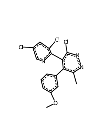 COc1cccc(-c2c(C)nnc(Cl)c2-c2ncc(Cl)cc2Cl)c1